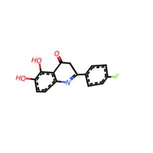 O=C1CC(c2ccc(F)cc2)=Nc2ccc(O)c(O)c21